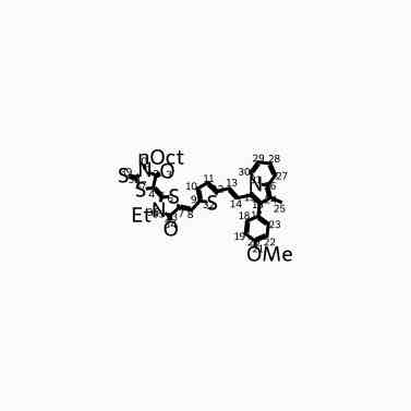 CCCCCCCCN1C(=O)/C(=c2\s/c(=C\c3ccc(/C=C/c4c(-c5ccc(OC)cc5)c(C)c5ccccn45)s3)c(=O)n2CC)SC1=S